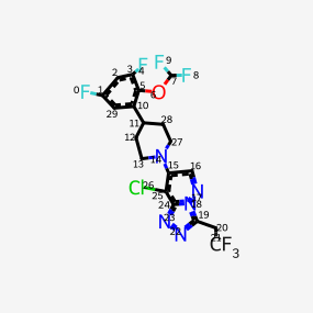 Fc1cc(F)c(OC(F)F)c(C2CCN(c3cnn4c(CC(F)(F)F)nnc4c3Cl)CC2)c1